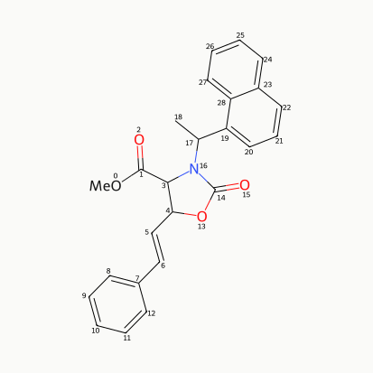 COC(=O)C1C(C=Cc2ccccc2)OC(=O)N1C(C)c1cccc2ccccc12